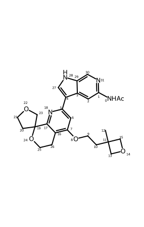 CC(=O)Nc1cc2c(-c3cc(OCCC4(C)COC4)c4c(n3)C3(CCOC3)OCC4)c[nH]c2cn1